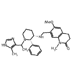 COc1cc2c(cc1CN[C@H]1CCCN(C(C)c3nc[nH]c3C)[C@H]1c1ccccc1)N(C)C(=O)CC2